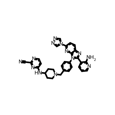 N#Cc1nccc(NC2CCN(Cc3ccc(-n4c(-c5cccnc5N)nc5ccc(-n6cnnc6)nc54)cc3)CC2)n1